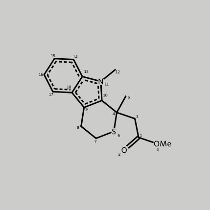 COC(=O)CC1(C)SCCc2c1n(C)c1ccccc21